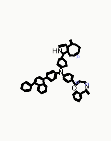 C=C1CC/C=C\CC2=C1C=CNC2C1=CC=C(N(c2ccc(/C3=C/C=N\C(=C)c4ccccc4O3)cc2)c2ccc(-c3ccc(-c4ccccc4)c4ccccc34)cc2)CC1